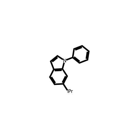 CC(C)c1ccc2ccn(-c3ccccc3)c2c1